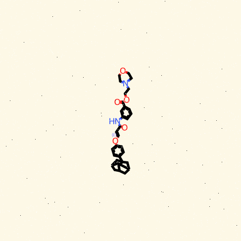 O=C(/C=C/Oc1ccc(C23CC4CC(CC(C4)C2)C3)cc1)Nc1cccc(C(=O)OCCN2CCOCC2)c1